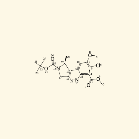 COC(=O)c1c(Cl)c(OC)cc2c3c(cnc12)CN(C(=O)OC(C)(C)C)[C@H]3C